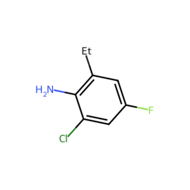 CCc1cc(F)cc(Cl)c1N